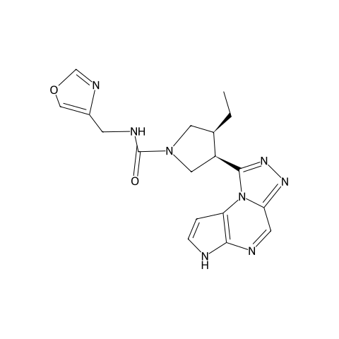 CC[C@@H]1CN(C(=O)NCc2cocn2)C[C@@H]1c1nnc2cnc3[nH]ccc3n12